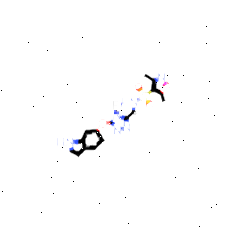 CCn1c(Oc2ccc3cc[nH]c3c2)nnc1[C@@H](C)NS(=O)(=O)c1c(C)noc1C